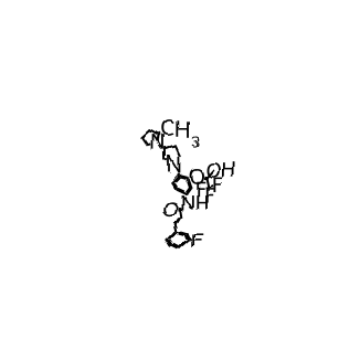 CC1CCCN1C1CCN(c2ccc(NC(=O)C=Cc3cccc(F)c3)cc2)C1.O=C(O)C(F)(F)F